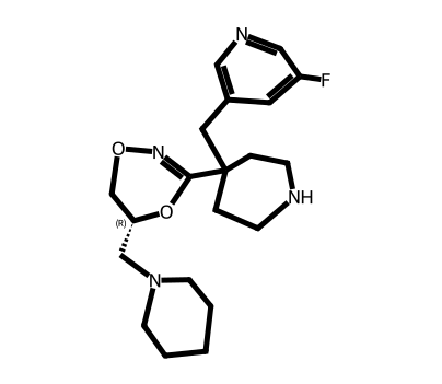 Fc1cncc(CC2(C3=NOC[C@@H](CN4CCCCC4)O3)CCNCC2)c1